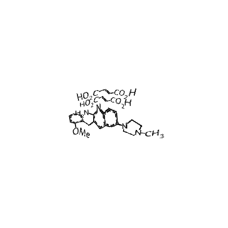 COc1ccccc1Cc1cc2cc(N3CCN(C)CC3)ccc2nc1N.O=C(O)/C=C/C(=O)O.O=C(O)/C=C/C(=O)O